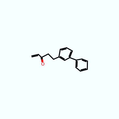 C=CC(=O)CCc1cccc(-c2ccccc2)c1